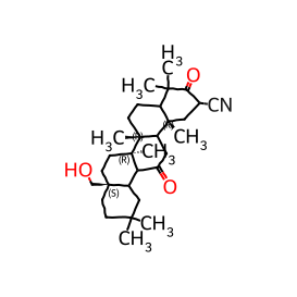 CC1(C)CC[C@]2(CO)CC[C@]3(C)C(C(=O)CC4[C@@]5(C)CC(C#N)C(=O)C(C)(C)C5CC[C@]43C)C2C1